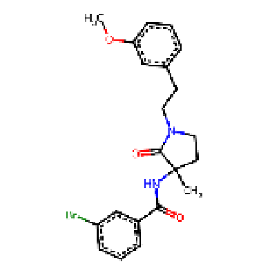 COc1cccc(CCN2CCC(C)(NC(=O)c3cccc(Br)c3)C2=O)c1